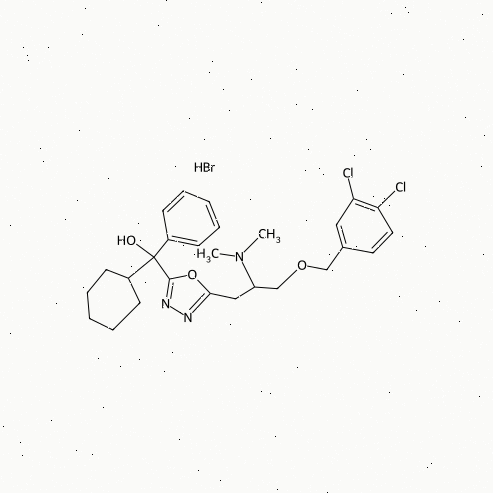 Br.CN(C)C(COCc1ccc(Cl)c(Cl)c1)Cc1nnc(C(O)(c2ccccc2)C2CCCCC2)o1